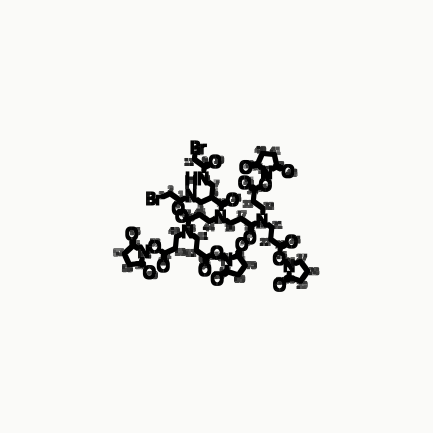 O=C(CBr)NCC(CNC(=O)CBr)C(=O)N(CCC(=O)N(CCC(=O)ON1CCCC1=O)CCC(=O)ON1C(=O)CCC1=O)CCC(=O)N(CCC(=O)ON1C(=O)CCC1=O)CCC(=O)ON1C(=O)CCC1=O